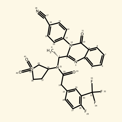 C[C@H](c1nc2ccccc2c(=O)n1-c1ccc(C#N)cc1)N(C(=O)Cc1ccc(F)c(C(F)(F)F)c1)C1CCS(=O)(=O)C1